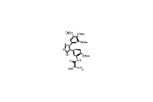 CCC(C)C(N)C(=O)Nc1cc(-c2[nH]nnc2-c2cc(OC)c(OC)c(OC)c2)ccc1OC